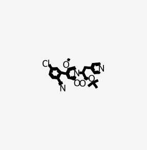 COc1cn(C(Cc2ccncc2)C(=O)OC(C)(C)C)c(=O)cc1-c1cc(Cl)ccc1C#N